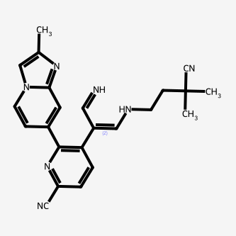 Cc1cn2ccc(-c3nc(C#N)ccc3/C(C=N)=C/NCCC(C)(C)C#N)cc2n1